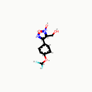 [O-][n+]1onc(-c2ccc(OC(F)F)cc2)c1CO